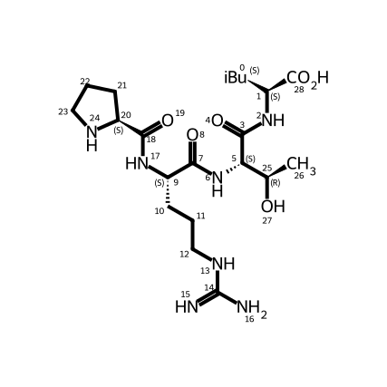 CC[C@H](C)[C@H](NC(=O)[C@@H](NC(=O)[C@H](CCCNC(=N)N)NC(=O)[C@@H]1CCCN1)[C@@H](C)O)C(=O)O